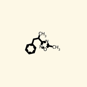 Cc1nc(C(C)Cc2ccccc2)no1